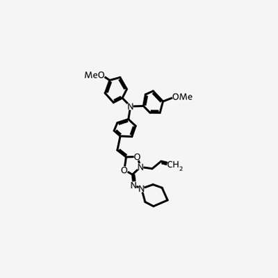 C=CCN1O/C(=C\c2ccc(N(c3ccc(OC)cc3)c3ccc(OC)cc3)cc2)O/C1=N/N1CCCCC1